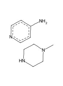 CN1CCNCC1.Nc1ccncc1